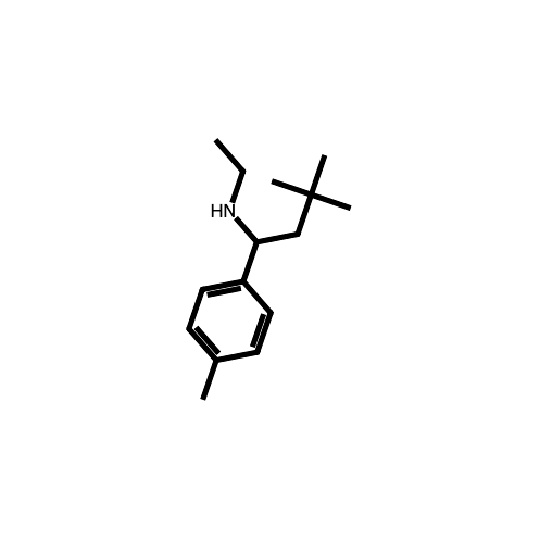 CCNC(CC(C)(C)C)c1ccc(C)cc1